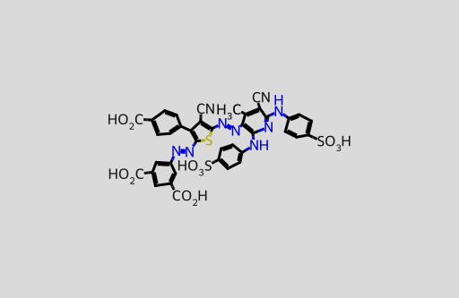 Cc1c(C#N)c(Nc2ccc(S(=O)(=O)O)cc2)nc(Nc2ccc(S(=O)(=O)O)cc2)c1N=Nc1sc(N=Nc2cc(C(=O)O)cc(C(=O)O)c2)c(-c2ccc(C(=O)O)cc2)c1C#N